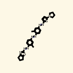 Cc1cc(/N=N/c2ccc(N3CCCC3)s2)ccc1/N=N/c1ccc(/N=N/c2nc3c(s2)CCC3)c(C)c1